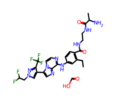 CCc1cc(Nc2nccn3c(-c4cn(CC(F)F)nc4C(F)(F)F)cnc23)ccc1C(=O)NCCNC(=O)C(C)N.O=CO